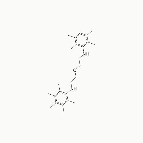 Cc1cc(C)c(C)c(NCCOCCNc2c(C)c(C)c(C)c(C)c2C)c1C